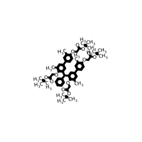 Cc1cc(-c2cc(C)c(OCC(=O)OC(C)(C)C)c(C(c3ccccc3)c3cc(-c4ccc(OCC(=O)OC(C)(C)C)c(C)c4)cc(C)c3OCC(=O)OC(C)(C)C)c2)ccc1OCC(=O)OC(C)(C)C